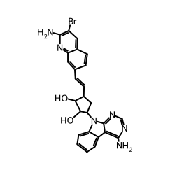 Nc1nc2cc(/C=C/C3CC(n4c5ccccc5c5c(N)ncnc54)C(O)C3O)ccc2cc1Br